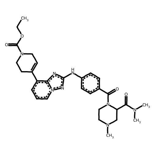 CCOC(=O)N1CC=C(c2cccn3nc(Nc4ccc(C(=O)N5CCN(C)CC5C(=O)N(C)C)cc4)nc23)CC1